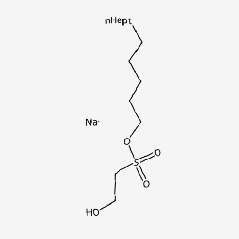 CCCCCCCCCCCCOS(=O)(=O)CCO.[Na]